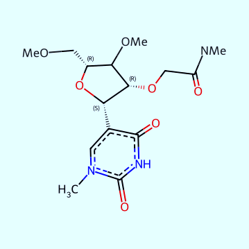 CNC(=O)CO[C@H]1C(OC)[C@@H](COC)O[C@H]1c1cn(C)c(=O)[nH]c1=O